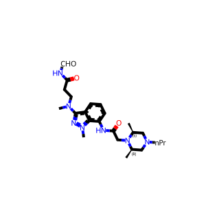 CCCN1C[C@@H](C)N(CC(=O)Nc2cccc3c(N(C)CCC(=O)NC=O)nn(C)c23)[C@@H](C)C1